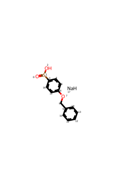 O=S(O)c1ccc(OCc2ccccc2)cc1.[NaH]